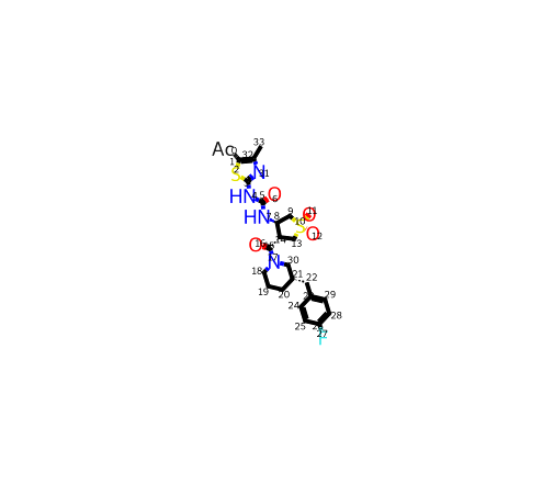 CC(=O)c1sc(NC(=O)N[C@H]2CS(=O)(=O)C[C@@H]2C(=O)N2CCC[C@@H](Cc3ccc(F)cc3)C2)nc1C